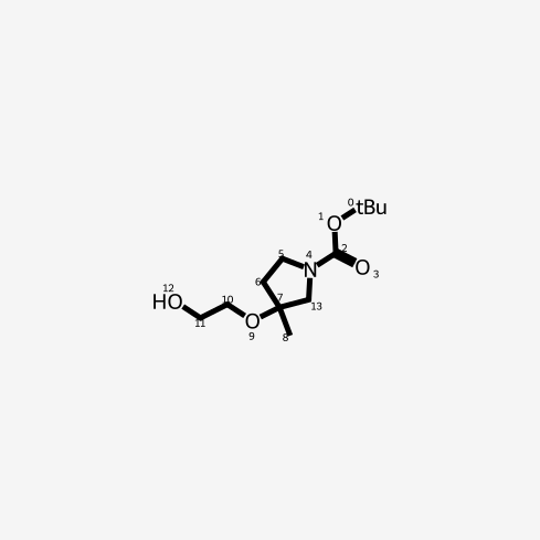 CC(C)(C)OC(=O)N1CCC(C)(OCCO)C1